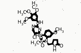 COc1ccc(Nc2nc(Nc3cc(OC)c(OC)c(OC)c3)ncc2Cl)c(N(CC2CCC(=O)N2)S(C)(=O)=O)c1